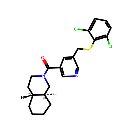 O=C(c1cncc(CSc2c(Cl)cccc2Cl)c1)N1CC[C@H]2CCCC[C@@H]2C1